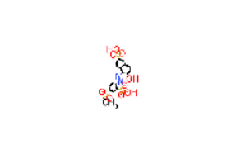 CCS(=O)(=O)c1ccc(/N=N/c2c(O)ccc3cc(S(=O)(=O)O)ccc23)c(S(=O)(=O)O)c1